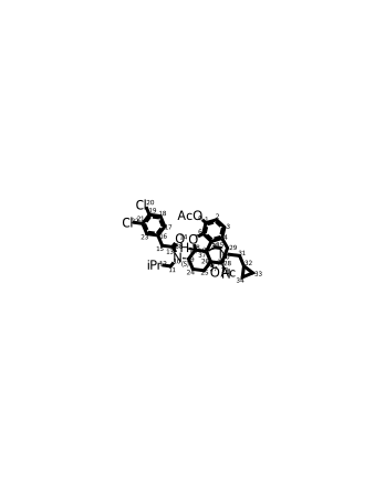 CC(=O)Oc1ccc2c3c1O[C@H]1[C@@H](N(CC(C)C)C(=O)Cc4ccc(Cl)c(Cl)c4)CC[C@@]4(OC(C)=O)[C@@H](C2)N(CC2CC2)CC[C@]314